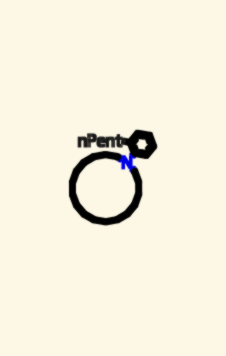 CCCCCc1ccccc1N1CCCCCCCCCCCCCCCCC1